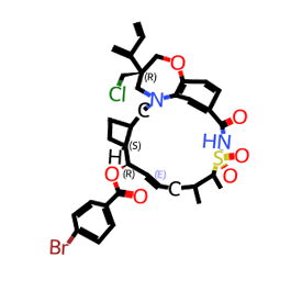 C=CC(=C)[C@]1(CCl)COc2ccc3cc2N(CC2CC[C@@H]2[C@@H](OC(=O)c2ccc(Br)cc2)/C=C/CC(C)C(C)S(=O)(=O)NC3=O)C1